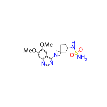 COc1cc2ncnc(N3CC4(CCC(NS(N)(=O)=O)C4)C3)c2cc1OC